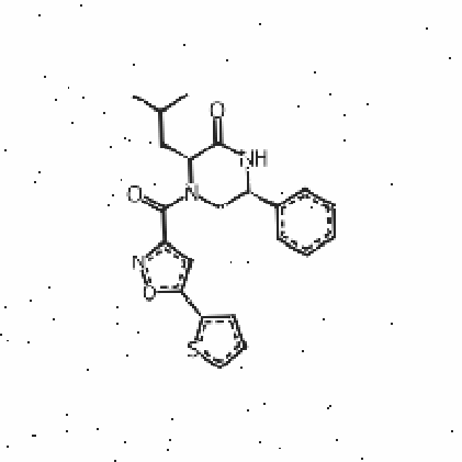 CC(C)C[C@H]1C(=O)N[C@@H](c2ccccc2)CN1C(=O)c1cc(-c2cccs2)on1